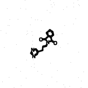 O=C1c2ccccc2C(=O)N1C=CCc1cncnc1